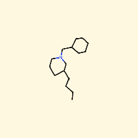 CCCCC1CCCN(CC2CCCCC2)C1